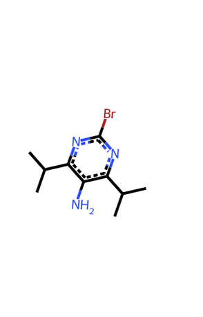 CC(C)c1nc(Br)nc(C(C)C)c1N